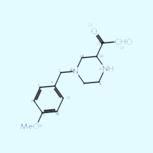 COc1ccc(CN2CCNC(C(=O)C=O)C2)cc1